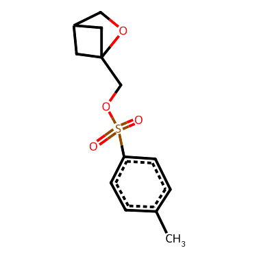 Cc1ccc(S(=O)(=O)OCC23CC(CO2)C3)cc1